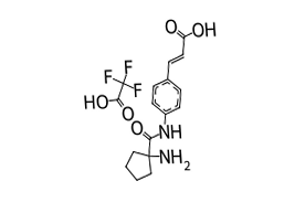 NC1(C(=O)Nc2ccc(/C=C/C(=O)O)cc2)CCCC1.O=C(O)C(F)(F)F